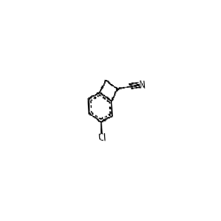 N#CC1Cc2ccc(Cl)cc21